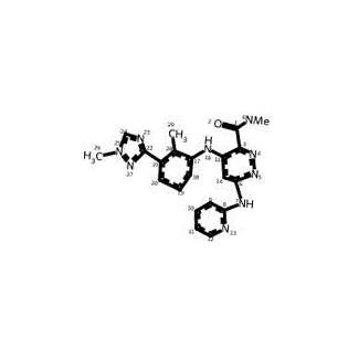 CNC(=O)c1nnc(Nc2ccccn2)cc1Nc1cccc(-c2ncn(C)n2)c1C